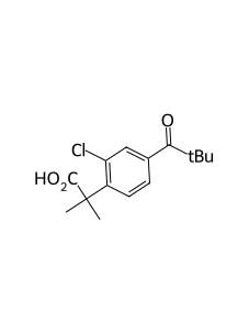 CC(C)(C)C(=O)c1ccc(C(C)(C)C(=O)O)c(Cl)c1